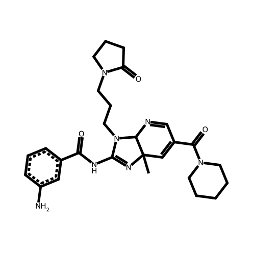 CC12C=C(C(=O)N3CCCCC3)C=NC1N(CCCN1CCCC1=O)C(NC(=O)c1cccc(N)c1)=N2